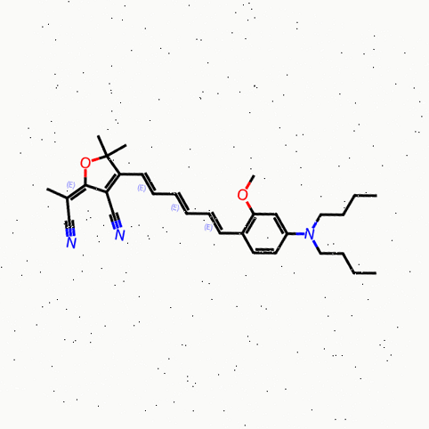 CCCCN(CCCC)c1ccc(/C=C/C=C/C=C/C2=C(C#N)C(=C(/C)C#N)/OC2(C)C)c(OC)c1